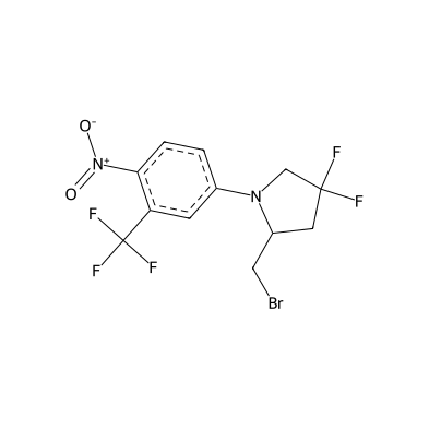 O=[N+]([O-])c1ccc(N2CC(F)(F)CC2CBr)cc1C(F)(F)F